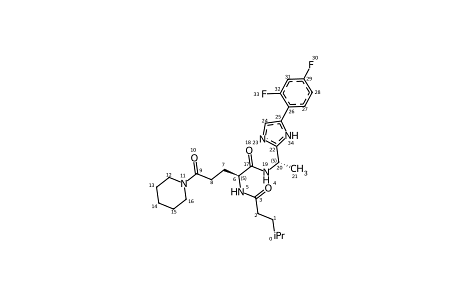 CC(C)CCC(=O)N[C@@H](CCC(=O)N1CCCCC1)C(=O)N[C@@H](C)c1ncc(-c2ccc(F)cc2F)[nH]1